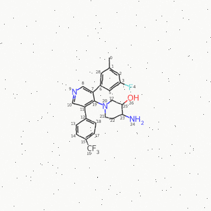 Cc1cc(F)cc(-c2cncc(-c3ccc(C(F)(F)F)cc3)c2N2CCC(N)C(O)C2)c1